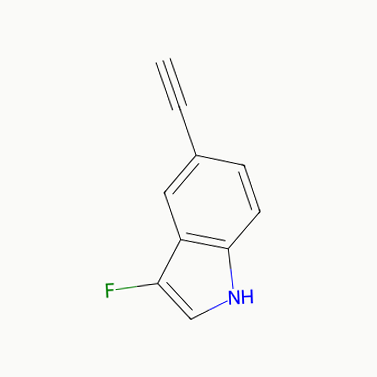 C#Cc1ccc2[nH]cc(F)c2c1